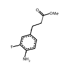 COC(=O)CCc1ccc(N)c(F)c1